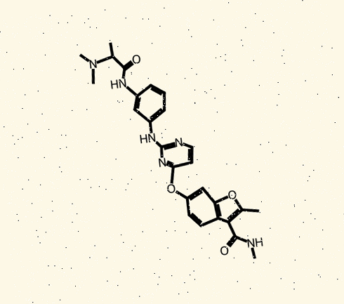 CNC(=O)c1c(C)oc2cc(Oc3ccnc(Nc4cccc(NC(=O)C(C)N(C)C)c4)n3)ccc12